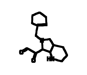 O=CC(=O)C1C2NCCCC2CN1CC1=CCCCC1